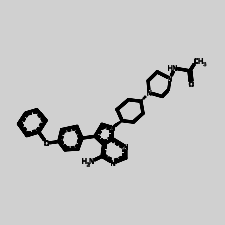 CC(=O)NN1CCN([C@H]2CC[C@H](n3cc(-c4ccc(Oc5ccccc5)cc4)c4c(N)ncnc43)CC2)CC1